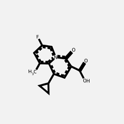 Cc1cc(F)cn2c(=O)c(C(=O)O)cc(C3CC3)c12